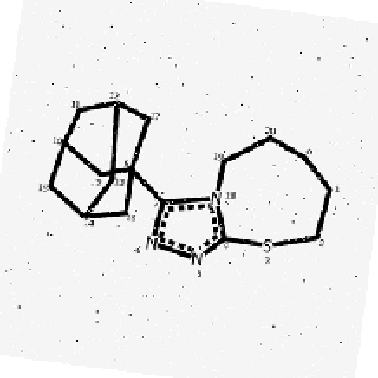 C1CCSc2nnc(C34CC5CC(CC(C5)C3)C4)n2CC1